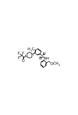 COCc1ccccc1NS(=O)(=O)c1ccc(C)c(N2CCN(C(=O)C(F)(F)F)CC2)c1